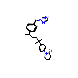 CC(CCC(C)(C)c1ccc(N2CCCCC2=O)cc1)c1ccc(Cn2cncn2)cc1